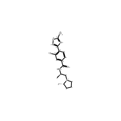 C[C@H](CN1CCC[C@@H]1C)NC(=O)c1ccc(-c2noc(C(F)(F)F)n2)c(F)c1